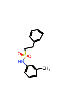 Cc1cccc(NS(=O)(=O)CCc2ccccc2)c1